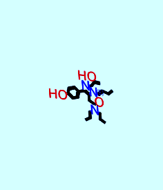 C=C(O)c1nc(-c2ccc(O)cc2)c(CC(=O)N(CCC)CCC)n1/C=C/CC